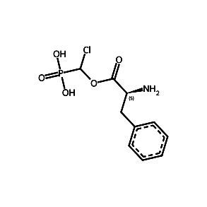 N[C@@H](Cc1ccccc1)C(=O)OC(Cl)P(=O)(O)O